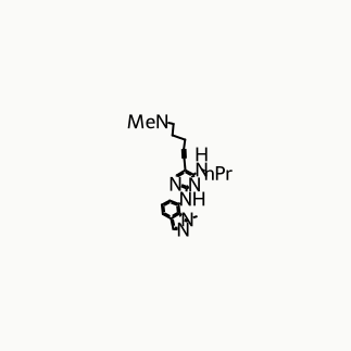 CCCNc1nc(Nc2cccc3cnn(C)c23)ncc1C#CCCCNC